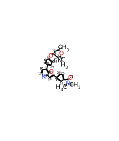 CC1CC(Oc2ccc(-c3ccnc4cc(-c5ccc(C(=O)N(C)C)cc5)oc34)cc2C#N)CC(C)O1